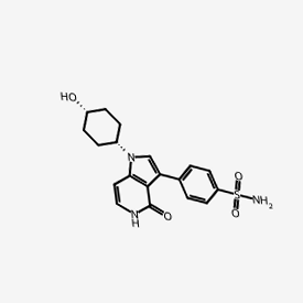 NS(=O)(=O)c1ccc(-c2cn([C@H]3CC[C@@H](O)CC3)c3cc[nH]c(=O)c23)cc1